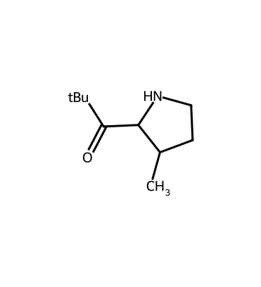 CC1CCNC1C(=O)C(C)(C)C